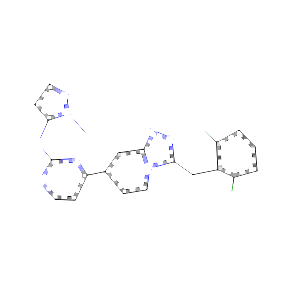 Cn1nccc1Nc1nccc(-c2ccn3c(Cc4c(F)cccc4F)nnc3c2)n1